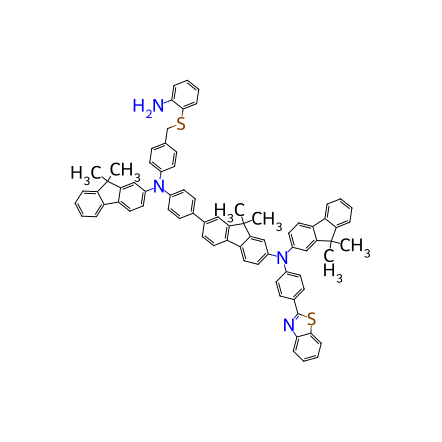 CC1(C)c2ccccc2-c2ccc(N(c3ccc(CSc4ccccc4N)cc3)c3ccc(-c4ccc5c(c4)C(C)(C)c4cc(N(c6ccc(-c7nc8ccccc8s7)cc6)c6ccc7c(c6)C(C)(C)c6ccccc6-7)ccc4-5)cc3)cc21